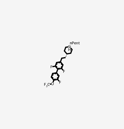 CCCCC[Si@H]1CC[C@H](CCc2cc(F)c(-c3ccc(OC(F)(F)F)c(F)c3)c(F)c2)CC1